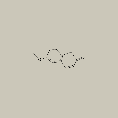 COc1ccc2c(c1)C=CC(=S)C2